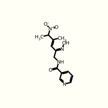 CC(=CC(CNC(=O)c1cccnc1)=NO)C(C)[N+](=O)[O-]